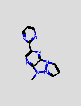 Cn1c2ncc(-c3ncccn3)nc2n2ccc[n+]12